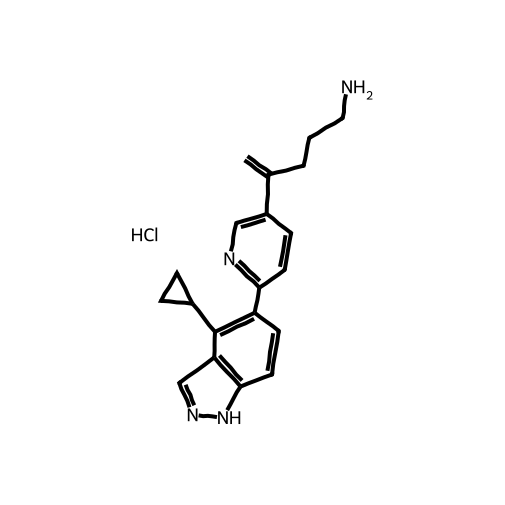 C=C(CCCN)c1ccc(-c2ccc3[nH]ncc3c2C2CC2)nc1.Cl